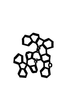 c1ccc2c(c1)-c1ccccc1C21c2ccccc2N2c3c(cccc31)B1c3c(cc4oc5ccccc5c4c32)-c2cccc3c4ccc5ccccc5c4n1c23